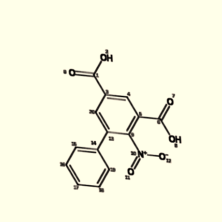 O=C(O)c1cc(C(=O)O)c([N+](=O)[O-])c(-c2ccccc2)c1